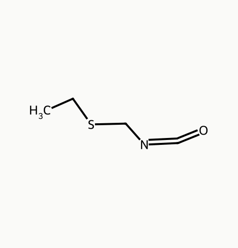 CCSCN=C=O